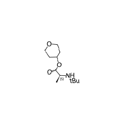 C[C@H](NC(C)(C)C)C(=O)OC1CCOCC1